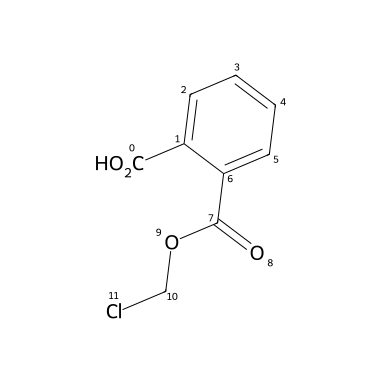 O=C(O)c1ccccc1C(=O)OCCl